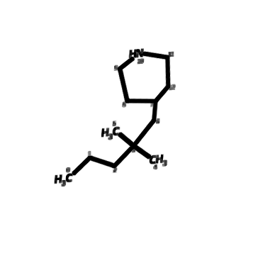 CCCC(C)(C)CC1CCNCC1